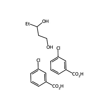 CCC(O)CCO.O=C(O)c1cccc(Cl)c1.O=C(O)c1cccc(Cl)c1